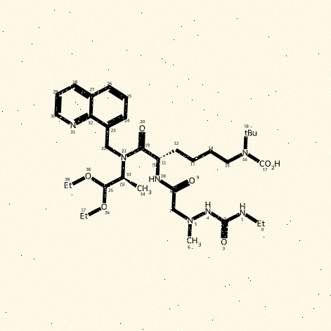 CCNC(=O)NN(C)CC(=O)N[C@@H](CCCCN(C(=O)O)C(C)(C)C)C(=O)N(Cc1cccc2cccnc12)[C@@H](C)C(OCC)OCC